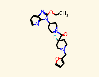 CCOc1nc2cccnc2n1C1CCN(C(=O)C2(F)CCN(Cc3ccco3)CC2)CC1